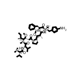 CC[C@H](C)[C@@H]([C@@H](CC(=O)N1CCC[C@H]1[C@H](OC)[C@@H](C)C(=O)N[C@@H](Cc1ccccc1)C(=O)N[S+]([O-])Cc1ccc(N)cc1)OC)N(C)C(=O)[C@@H](NC(=O)[C@H](C(C)C)N(C)C)C(C)C